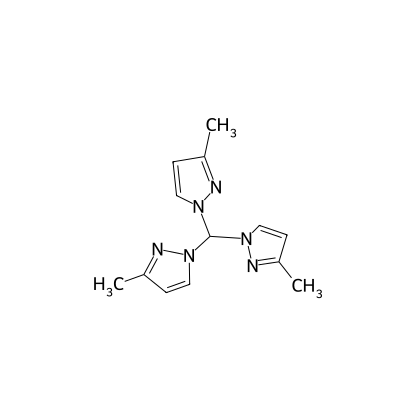 Cc1ccn(C(n2ccc(C)n2)n2ccc(C)n2)n1